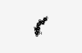 Cn1nc(C2CCC(=O)NC2=O)c2cccc(OC3CCN(C(=O)c4cccc(-c5ccc(F)cc5)c4)CC3)c21